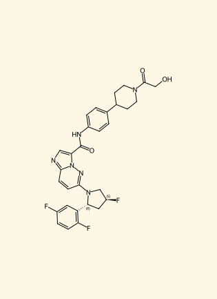 O=C(Nc1ccc(C2CCN(C(=O)CO)CC2)cc1)c1cnc2ccc(N3C[C@@H](F)C[C@@H]3c3cc(F)ccc3F)nn12